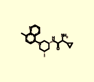 Cc1ccc(N2C[C@@H](C)C[C@@H](NC(=O)C(N)C3CC3)C2)c2cccnc12